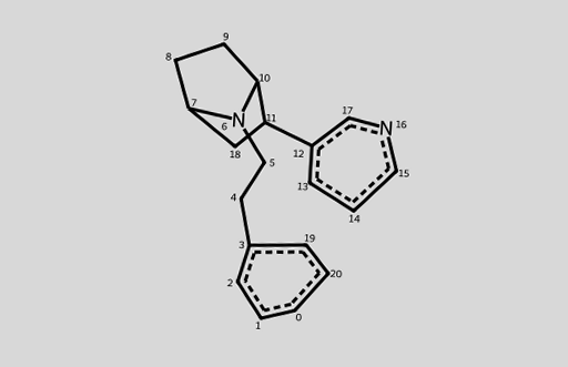 c1ccc(CCN2C3CCC2C(c2cccnc2)C3)cc1